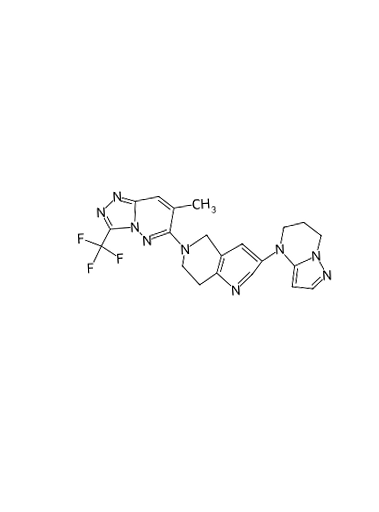 Cc1cc2nnc(C(F)(F)F)n2nc1N1CCc2ncc(N3CCCn4nccc43)cc2C1